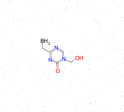 BCc1ncn(CO)c(=O)n1